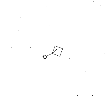 [O]C12CC(C1)C2